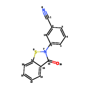 N#Cc1cccc(-n2sc3ccccc3c2=O)c1